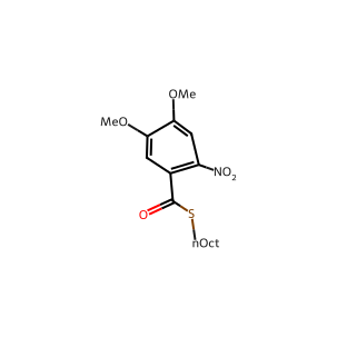 CCCCCCCCSC(=O)c1cc(OC)c(OC)cc1[N+](=O)[O-]